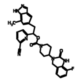 Cc1cc(CC(OC(=O)N2CCC(N3Cc4cccc(F)c4NC3=O)CC2)c2cccc(C#N)n2)cc2cn[nH]c12